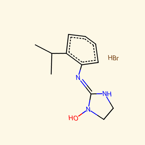 Br.CC(C)c1ccccc1/N=C1\NCCN1O